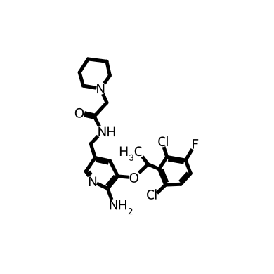 CC(Oc1cc(CNC(=O)CN2CCCCC2)cnc1N)c1c(Cl)ccc(F)c1Cl